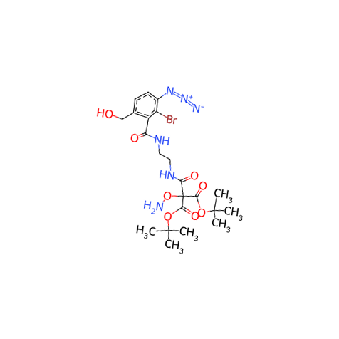 CC(C)(C)OC(=O)C(ON)(C(=O)NCCNC(=O)c1c(CO)ccc(N=[N+]=[N-])c1Br)C(=O)OC(C)(C)C